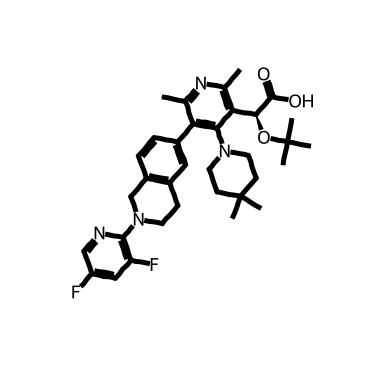 Cc1nc(C)c([C@H](OC(C)(C)C)C(=O)O)c(N2CCC(C)(C)CC2)c1-c1ccc2c(c1)CCN(c1ncc(F)cc1F)C2